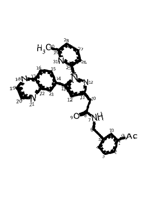 CC(=O)c1cccc(CNC(=O)Cc2cc(-c3ccc4nccnc4c3)n(-c3cccc(C)n3)n2)c1